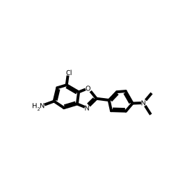 CN(C)c1ccc(-c2nc3cc(N)cc(Cl)c3o2)cc1